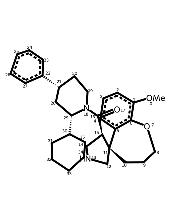 COc1cccc2c1OCCC[C@]21CNC[C@H]1C(=O)N1CC[C@@H](c2ccccc2)C[C@H]1C1CCCCC1